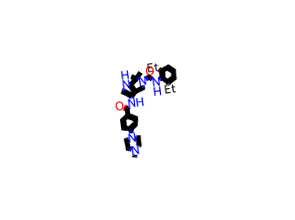 CCc1cccc(CC)c1NC(=O)N1Cc2c(NC(=O)c3ccc(N4CCN(C)CC4)cc3)c[nH]c2C1(C)C